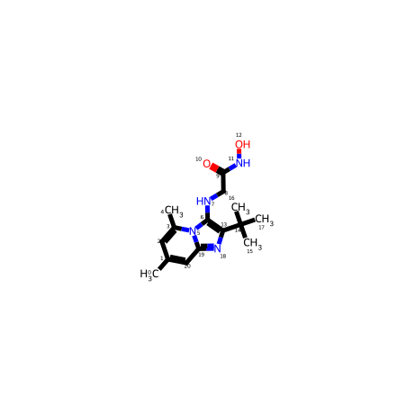 Cc1cc(C)n2c(NCC(=O)NO)c(C(C)(C)C)nc2c1